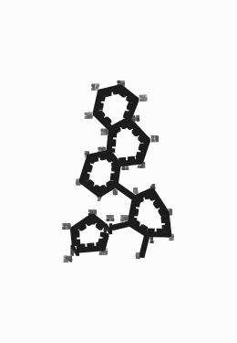 Cc1cccc(-c2cccc3c2ccc2ccccc23)c1-n1ccnc1